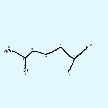 CCCC(CC)CCCC(F)F